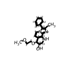 COCCO[C@@H]1c2ccn3c(-c4ccccc4)c(C)nc3c2NC[C@H]1O